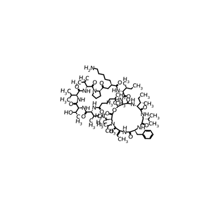 C/C=C1\NC(=O)[C@H](Cc2ccccc2)NC(=O)[C@@H](C(C)C)NC(=O)[C@@H]([C@@H](C)CC)NC(=O)[C@H](NC(=O)[C@H](NC(=O)[C@H](CCCCCN)CC(=O)[C@H]2CCCN2C(=O)[C@H](NC(=O)[C@@H](NC(=O)[C@@H](NC(=O)[C@H](NC(=O)CCCC(C)C)C(C)C)[C@@H](C)O)C(C)C)C(C)C)[C@@H](C)CC)[C@H](C)OC(=O)[C@H](C(C)C)N(C(C)C)C1=O